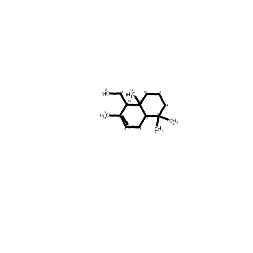 CC1=CCC2C(C)(C)CCCC2(C)C1CO